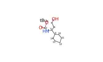 CC(C)(C)OC(=O)NC(CCO)C1CCCCC1